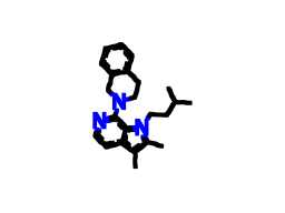 Cc1c(C)n(CCC(C)C)c2c(N3CCc4ccccc4C3)nccc12